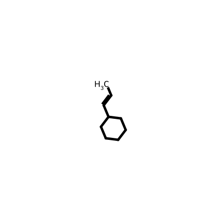 CC=CC1CCCCC1